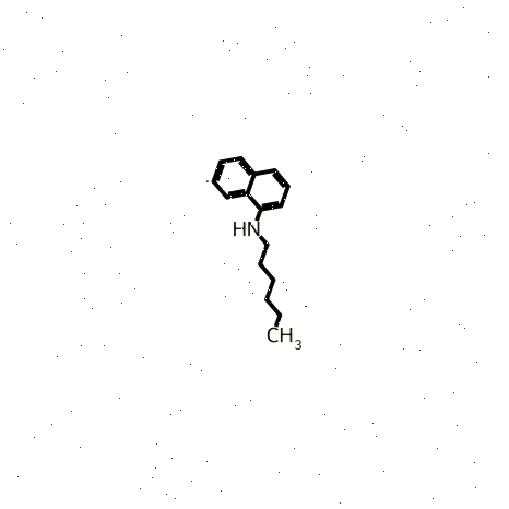 CCCCCCNc1cccc2cc[c]cc12